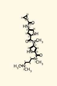 CN(C)CCCN(C)C(=O)c1cc(N(C)C(=O)c2cc(NC(=O)N3CC3)c[nH]2)c[nH]1